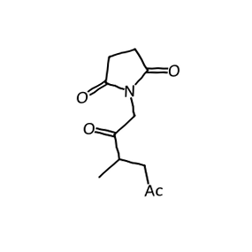 CC(=O)CC(C)C(=O)CN1C(=O)CCC1=O